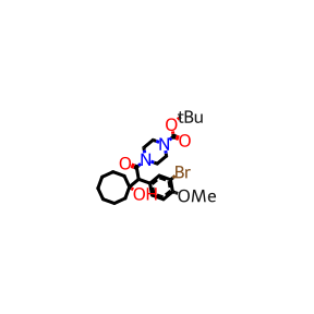 COc1ccc(C(C(=O)N2CCN(C(=O)OC(C)(C)C)CC2)C2(O)CCCCCCC2)cc1Br